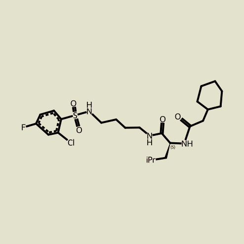 CC(C)C[C@H](NC(=O)CC1CCCCC1)C(=O)NCCCCNS(=O)(=O)c1ccc(F)cc1Cl